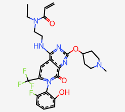 C=CC(=O)N(CC)CCNc1nc(OC2CCN(C)CC2)nc2c(=O)n(-c3c(O)cccc3F)c(C(F)(F)F)cc12